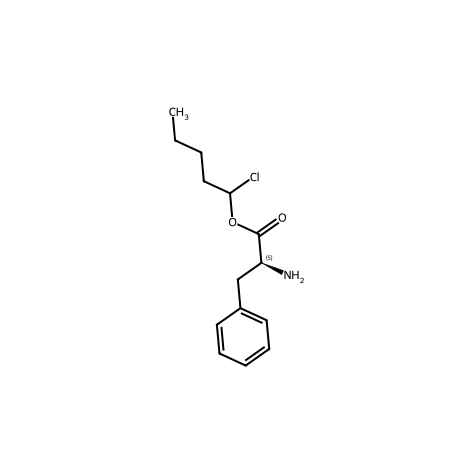 CCCCC(Cl)OC(=O)[C@@H](N)Cc1ccccc1